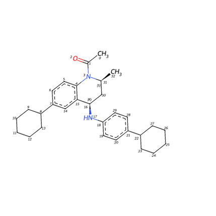 CC(=O)N1c2ccc(C3CCCCC3)cc2[C@H](Nc2ccc(C3CCCCC3)cc2)C[C@@H]1C